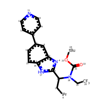 CC(C)CC(c1nc2cc(-c3ccncc3)ccc2[nH]1)N(CC(F)(F)F)C(=O)OC(C)(C)C